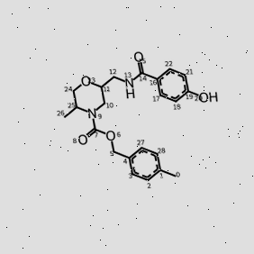 Cc1ccc(COC(=O)N2CC(CNC(=O)c3ccc(O)cc3)OCC2C)cc1